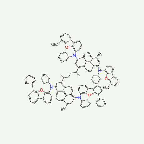 CC(C)c1cc(N(c2ccccc2)c2cccc3c2oc2c(-c4ccccc4)cccc23)c2ccc3c(C(C)CCC(C)c4cc(N(c5ccccc5)c5cccc6c5oc5c(C(C)(C)C)cccc56)c5ccc6c(C(C)C)cc(N(c7ccccc7)c7cccc8c7oc7c(C(C)(C)C)cccc78)c7ccc4c5c67)cc(N(c4ccccc4)c4cccc5c4oc4c(-c6ccccc6)cccc45)c4ccc1c2c34